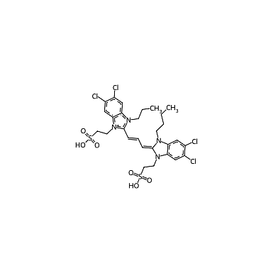 CCCCN1C(=CC=Cc2n(CCC)c3cc(Cl)c(Cl)cc3[n+]2CCS(=O)(=O)O)N(CCS(=O)(=O)O)c2cc(Cl)c(Cl)cc21